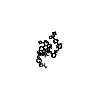 Cc1c(-c2c(C3CCC3)ncc3snc(O[C@H](Cc4ccccc4OCc4ccnc(-c5ccc(C(=O)N6CCC6)cc5)n4)C(=O)O)c23)ccc(OCCN2CCN(C)CC2)c1Cl